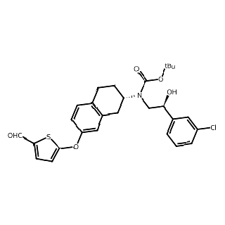 CC(C)(C)OC(=O)N(C[C@@H](O)c1cccc(Cl)c1)[C@H]1CCc2ccc(Oc3ccc(C=O)s3)cc2C1